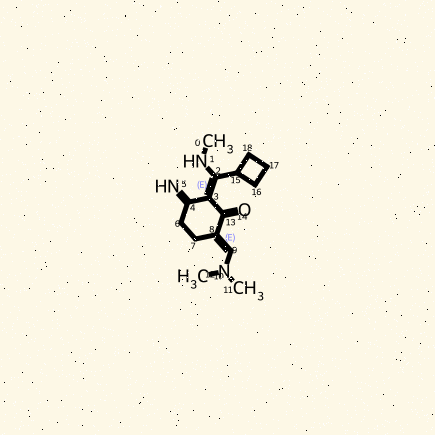 CN/C(=C1\C(=N)CC/C(=C\N(C)C)C1=O)C1CCC1